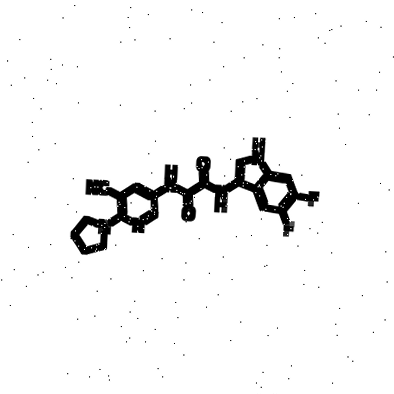 N#Cc1cc(NC(=O)C(=O)Nc2c[nH]c3cc(F)c(F)cc23)cnc1N1CCCC1